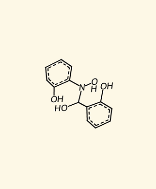 Oc1ccccc1C(O)N(O)c1ccccc1O